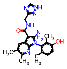 Cc1cc2c(C(=O)NCc3nc[nH]n3)c(N)n(-c3c(C)ccc(O)c3C)c2nc1C